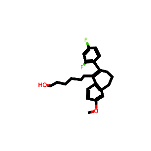 COc1ccc2c(c1)CCCC(c1ccc(F)cc1F)=C2CCCCCCO